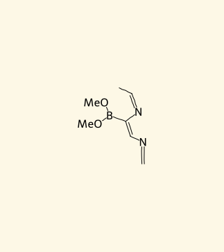 C=N/C=C(\N=C/C)B(OC)OC